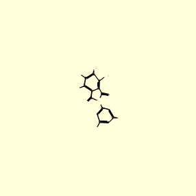 O=C1c2c(Br)c(Br)c(Br)c(Br)c2C(=O)N1c1cc(Cl)cc(Cl)c1